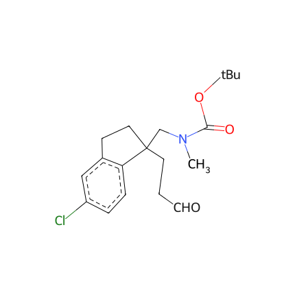 CN(CC1(CCC=O)CCc2cc(Cl)ccc21)C(=O)OC(C)(C)C